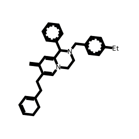 C=C1C=C2C(c3ccccc3)N(Cc3ccc(CC)cc3)CCN2C=C1CCC1=CC=CCC1